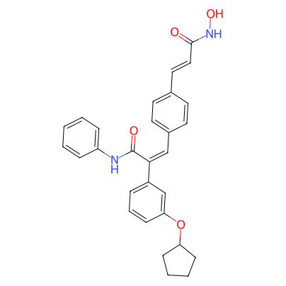 O=C(/C=C/c1ccc(C=C(C(=O)Nc2ccccc2)c2cccc(OC3CCCC3)c2)cc1)NO